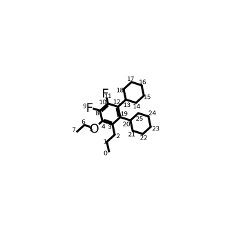 CCCc1c(OCC)c(F)c(F)c(C2CCCCC2)c1C1CCCCC1